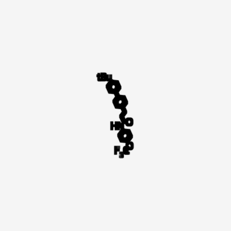 CC(C)(C)c1ccc(-c2ccc(CCC(=O)Nc3ccc(OC(F)(F)F)cc3)cc2)cc1